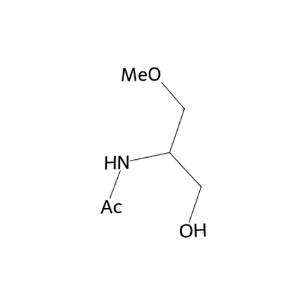 COCC(CO)NC(C)=O